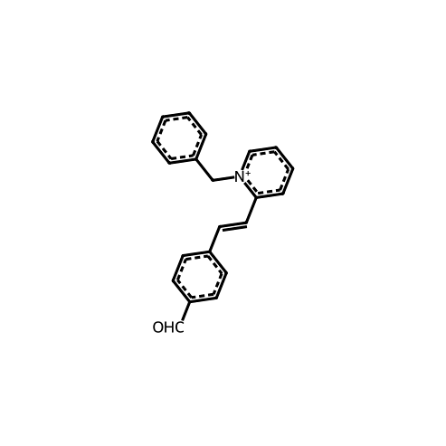 O=Cc1ccc(C=Cc2cccc[n+]2Cc2ccccc2)cc1